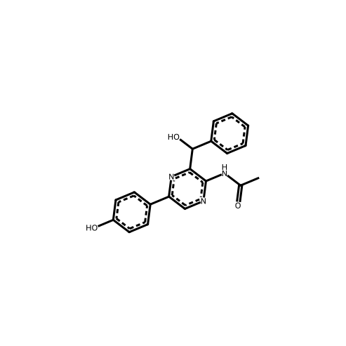 CC(=O)Nc1ncc(-c2ccc(O)cc2)nc1C(O)c1ccccc1